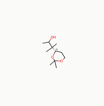 CC(O)C(C)(C)[C@@H]1CCOC(C)(C)O1